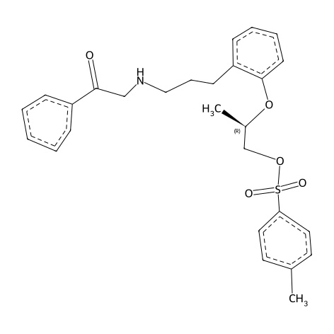 Cc1ccc(S(=O)(=O)OC[C@@H](C)Oc2ccccc2CCCNCC(=O)c2ccccc2)cc1